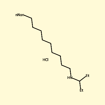 CCCCCCCCCCCCCCCCCCNC(CC)CC.Cl